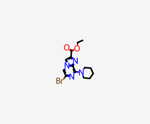 CCOC(=O)c1cn2cc(Br)nc(N3CCCCC3)c2n1